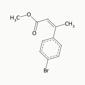 COC(=O)/C=C(/C)c1ccc(Br)cc1